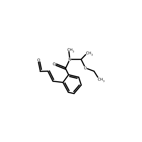 CCOC(C)N(C)C(=O)c1ccccc1/C=C/[C]=O